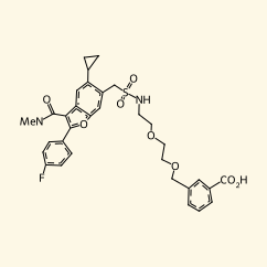 CNC(=O)c1c(-c2ccc(F)cc2)oc2cc(CS(=O)(=O)NCCOCCOCc3cccc(C(=O)O)c3)c(C3CC3)cc12